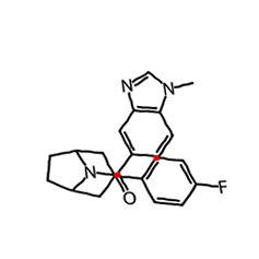 Cn1cnc2cc(C(=O)N3C4CCC3CC(c3ccc(F)cc3)C4)ccc21